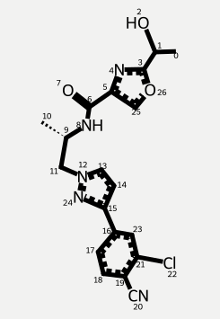 CC(O)c1nc(C(=O)N[C@@H](C)Cn2ccc(-c3ccc(C#N)c(Cl)c3)n2)co1